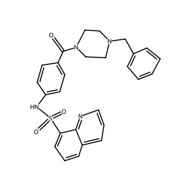 O=C(c1ccc(NS(=O)(=O)c2cccc3cccnc23)cc1)N1CCN(Cc2ccccc2)CC1